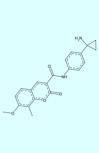 COc1ccc2cc(C(=O)Nc3ccc(C4(N)CC4)cc3)c(=O)oc2c1C